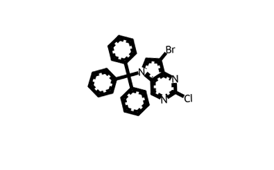 Clc1ncc2c(n1)c(Br)cn2C(c1ccccc1)(c1ccccc1)c1ccccc1